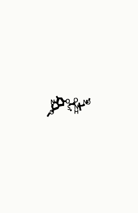 CCOc1cnc2c(C)cc(OC(SC)C(=O)NC(C)(C)C=NOC)cc2c1